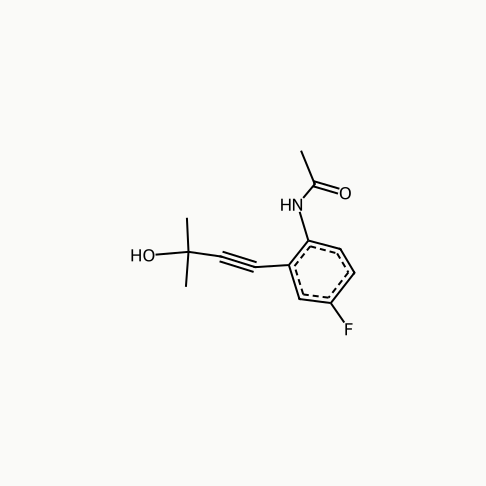 CC(=O)Nc1ccc(F)cc1C#CC(C)(C)O